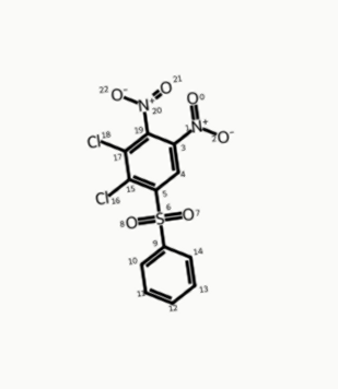 O=[N+]([O-])c1cc(S(=O)(=O)c2ccccc2)c(Cl)c(Cl)c1[N+](=O)[O-]